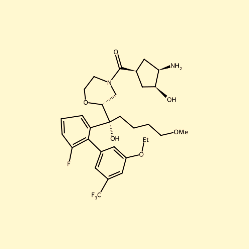 CCOc1cc(-c2c(F)cccc2[C@](O)(CCCCOC)[C@H]2CN(C(=O)[C@H]3C[C@@H](N)[C@@H](O)C3)CCO2)cc(C(F)(F)F)c1